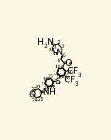 NC1CCN(C=CC(=O)c2ccc(Sc3cccc(NC4CCOCC4)c3)c(C(F)(F)F)c2C(F)(F)F)CC1